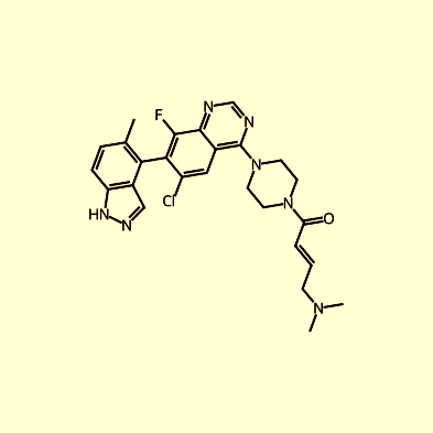 Cc1ccc2[nH]ncc2c1-c1c(Cl)cc2c(N3CCN(C(=O)/C=C/CN(C)C)CC3)ncnc2c1F